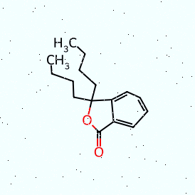 CCCCC1(CCCC)OC(=O)c2ccccc21